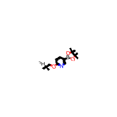 [2H]C(C)(C)COc1ccc(B2OC(C)(C)C(C)(C)O2)cn1